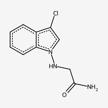 NC(=O)CNn1cc(Cl)c2ccccc21